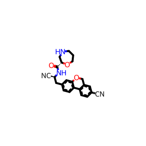 N#Cc1ccc2c(c1)COc1cc(C[C@@H](C#N)NC(=O)[C@@H]3CNCCCO3)ccc1-2